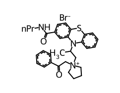 CCCNC(=O)c1ccc2c(c1)N(C(C)C[N+]1(CC(=O)c3ccccc3)CCCC1)c1ccccc1S2.[Br-]